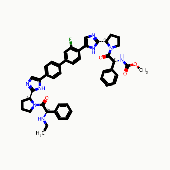 CCN[C@@H](C(=O)N1CCC[C@H]1c1ncc(-c2ccc(-c3ccc(-c4cnc([C@@H]5CCCN5C(=O)[C@H](NC(=O)OC)c5ccccc5)[nH]4)c(F)c3)cc2)[nH]1)c1ccccc1